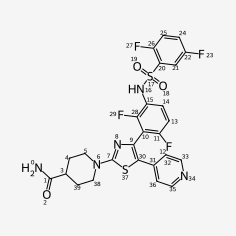 NC(=O)C1CCN(c2nc(-c3c(F)ccc(NS(=O)(=O)c4cc(F)ccc4F)c3F)c(-c3ccncc3)s2)CC1